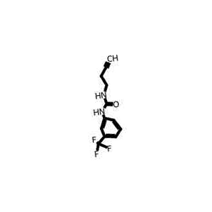 C#CCCNC(=O)Nc1cccc(C(F)(F)F)c1